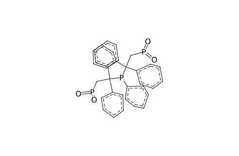 O=P(=O)CC(c1ccccc1)(c1ccccc1)P(c1ccccc1)C(CP(=O)=O)(c1ccccc1)c1ccccc1